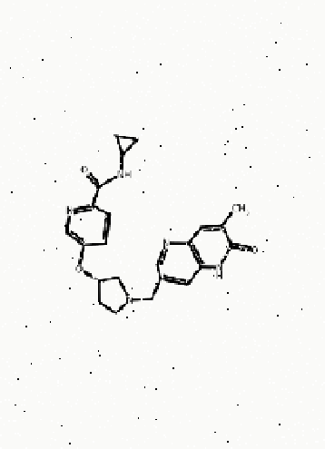 Cc1cc2ncc(CN3CC[C@@H](Oc4ccc(C(=O)NC5CC5)nc4)C3)cc2[nH]c1=O